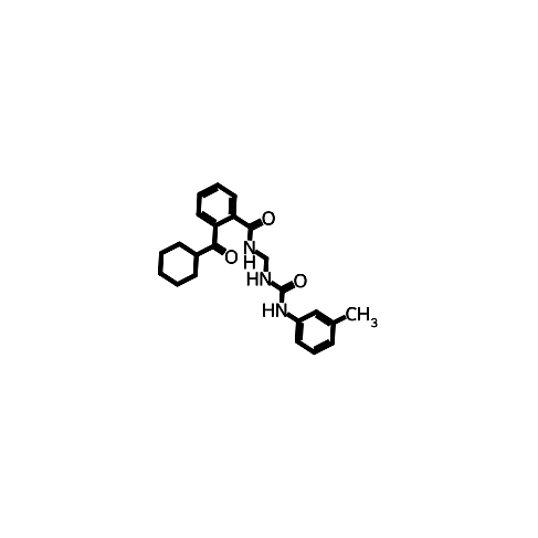 Cc1cccc(NC(=O)NCNC(=O)c2ccccc2C(=O)C2CCCCC2)c1